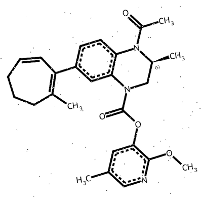 COc1ncc(C)cc1OC(=O)N1C[C@H](C)N(C(C)=O)c2ccc(C3=C(C)CCCC=C3)cc21